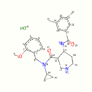 COc1ccccc1CN(C(=O)C1CNCCC1NC(=O)c1cc(C)cc(C)c1)C1CC1.Cl